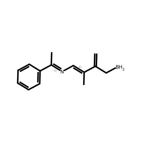 BCC(=C)/C(C)=C/N=C(\C)c1ccccc1